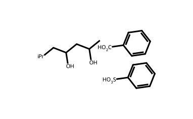 CC(C)CC(O)CC(C)O.O=C(O)c1ccccc1.O=S(=O)(O)c1ccccc1